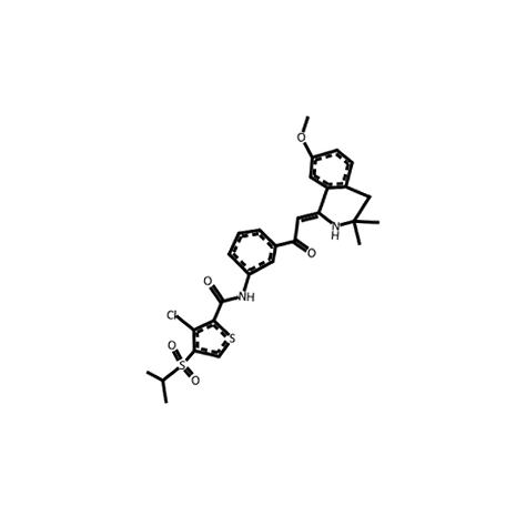 COc1ccc2c(c1)C(=CC(=O)c1cccc(NC(=O)c3scc(S(=O)(=O)C(C)C)c3Cl)c1)NC(C)(C)C2